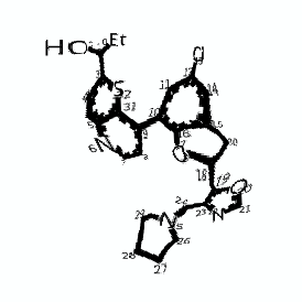 CCC(O)c1cc2nccc(-c3cc(Cl)cc4c3OC(c3ocnc3CN3CCCC3)C4)c2s1